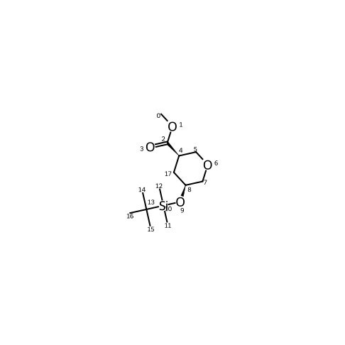 COC(=O)[C@H]1COC[C@@H](O[Si](C)(C)C(C)(C)C)C1